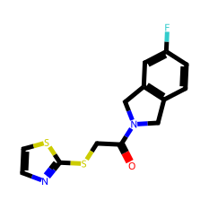 O=C(CSc1nccs1)N1Cc2ccc(F)cc2C1